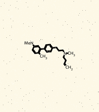 C=CCCN(C)CCCc1ccc(-c2cc(NC)ccc2C)cc1